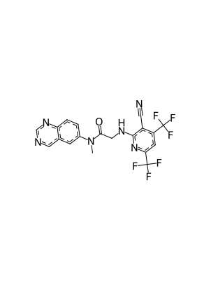 CN(C(=O)CNc1nc(C(F)(F)F)cc(C(F)(F)F)c1C#N)c1ccc2ncncc2c1